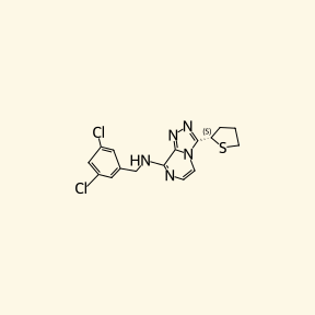 Clc1cc(Cl)cc(CNc2nccn3c([C@@H]4CCCS4)nnc23)c1